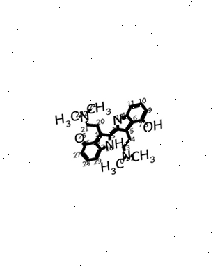 CN(C)CCC1=c2c(O)cccc2=NC1=c1[nH]c2c(c1CCN(C)C)C(=O)C=CC=2